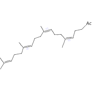 CC(=O)CC/C=C(/C)CC/C=C(/C)CC/C=C(\C)CCC=C(C)C